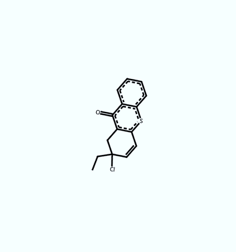 CCC1(Cl)C=Cc2sc3ccccc3c(=O)c2C1